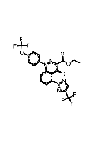 CCOC(=O)c1nn(-c2ccc(OC(F)(F)F)cc2)c2cccc(-n3ncc(C(F)(F)F)n3)c2c1=O